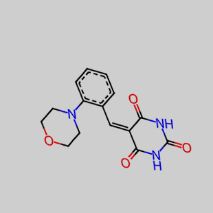 O=C1NC(=O)C(=Cc2ccccc2N2CCOCC2)C(=O)N1